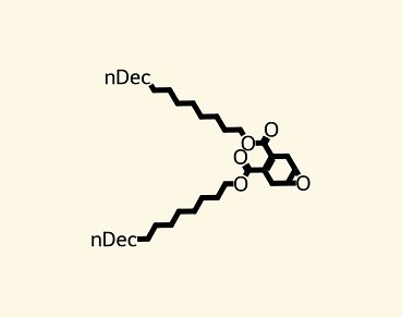 CCCCCCCCCCCCCCCCCCOC(=O)C1=C(C(=O)OCCCCCCCCCCCCCCCCCC)CC2OC2C1